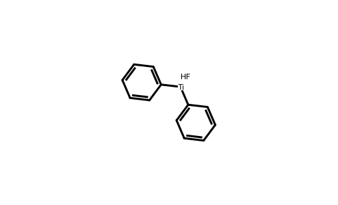 F.c1cc[c]([Ti][c]2ccccc2)cc1